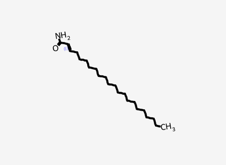 CCCCCCCCCCCCCCCCCCC/C=C/C(N)=O